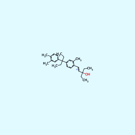 CCC(O)(/C=C/c1ccc(C(CC)(CC)c2ccc(C)c(C)c2)cc1C)CC